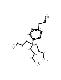 C=CCc1cc[c]([Sn]([CH2]CCC)([CH2]CCC)[CH2]CCC)cc1